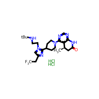 C[C@@H]1CC(=O)Nc2ncnc(N3CCC(c4nc(CC(F)(F)F)cn4CCNC(C)(C)C)CC3)c21.Cl.Cl